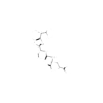 CC(C)[C@H](N)c1noc([C@H](CO)NC(=O)N[C@@H](CCC(N)=O)C(=O)O)n1